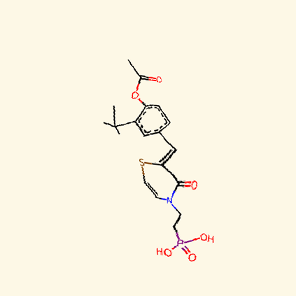 CC(=O)Oc1ccc(C=C2SC=CN(CCP(=O)(O)O)C2=O)cc1C(C)(C)C